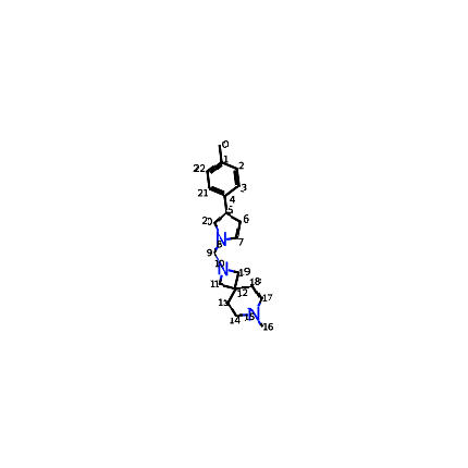 Cc1ccc(C2CCN(CN3CC4(CCN(C)CC4)C3)C2)cc1